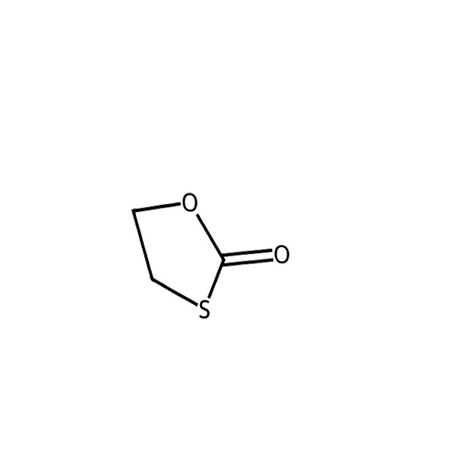 O=C1OCCS1